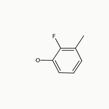 Cc1cccc([O])c1F